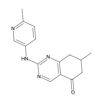 Cc1ccc(Nc2ncc3c(n2)CC(C)CC3=O)cn1